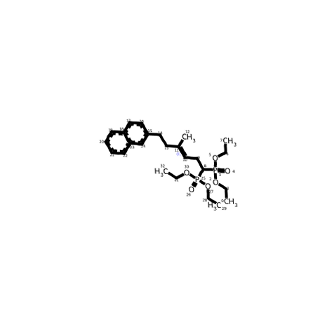 CCOP(=O)(OCC)C(C/C=C(\C)CCc1ccc2ccccc2c1)P(=O)(OCC)OCC